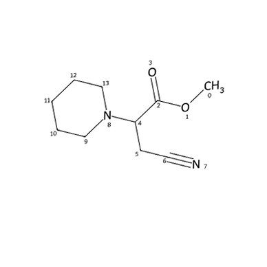 COC(=O)C(CC#N)N1CCCCC1